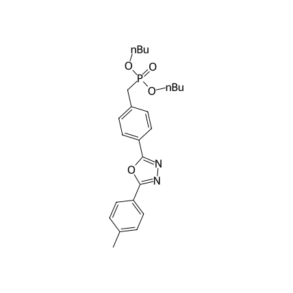 CCCCOP(=O)(Cc1ccc(-c2nnc(-c3ccc(C)cc3)o2)cc1)OCCCC